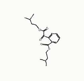 CC(C)CCOC(=O)C(=O)c1ccccc1C(=O)OCCC(C)C